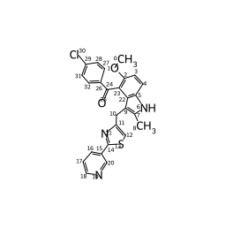 COc1ccc2[nH]c(C)c(Cc3csc(-c4cccnc4)n3)c2c1C(=O)c1ccc(Cl)cc1